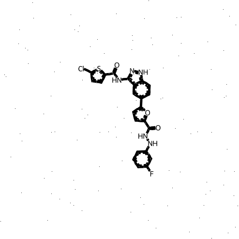 O=C(NNc1cccc(F)c1)c1ccc(-c2ccc3[nH]nc(NC(=O)c4ccc(Cl)s4)c3c2)o1